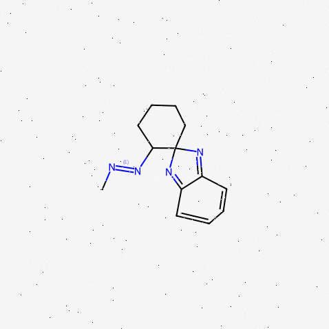 C/N=N/C1CCCCC12N=c1ccccc1=N2